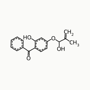 C=C(C)C(O)Oc1ccc(C(=O)c2ccccc2)c(O)c1